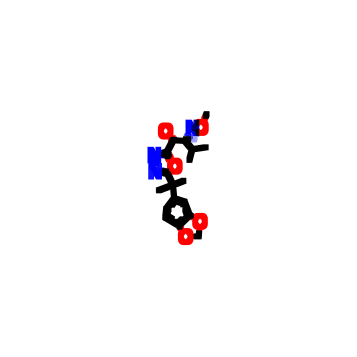 CO/N=C(/C(=O)c1nnc(C(C)(C)c2ccc3c(c2)OCO3)o1)C(C)C